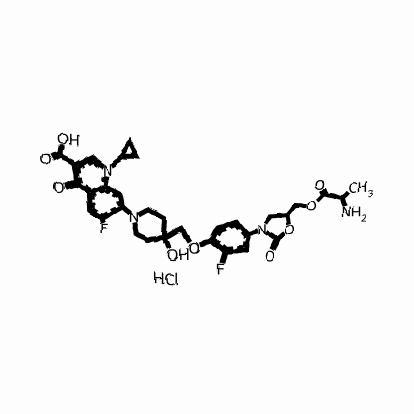 CC(N)C(=O)OCC1CN(c2ccc(OCC3(O)CCN(c4cc5c(cc4F)c(=O)c(C(=O)O)cn5C4CC4)CC3)c(F)c2)C(=O)O1.Cl